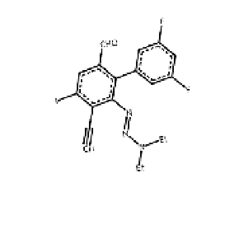 C#Cc1c(I)cc(C=O)c(-c2cc(F)cc(F)c2)c1/N=N/N(CC)CC